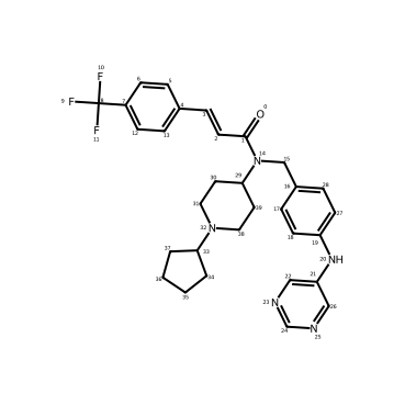 O=C(C=Cc1ccc(C(F)(F)F)cc1)N(Cc1ccc(Nc2cncnc2)cc1)C1CCN(C2CCCC2)CC1